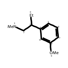 CCC(CNC)c1cccc(OC)c1